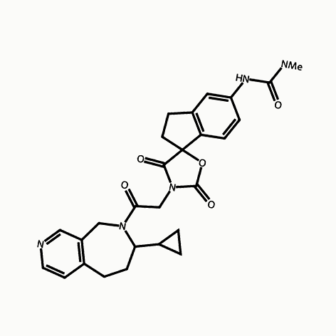 CNC(=O)Nc1ccc2c(c1)CCC21OC(=O)N(CC(=O)N2Cc3cnccc3CCC2C2CC2)C1=O